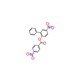 O=C(Oc1ccc([N+](=O)[O-])cc1-c1ccccc1)c1ccc([N+](=O)[O-])cc1